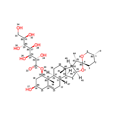 C[C@@H]1CC[C@@]2(OC1)O[C@H]1C[C@H]3[C@@H]4CC=C5C[C@@H](O)C[C@@H](OC(=O)[C@@H](O)[C@@H](O)[C@H](O)[C@H](O)[C@H](O)CO)[C@]5(C)[C@H]4CC[C@]3(C)[C@H]1[C@@H]2C